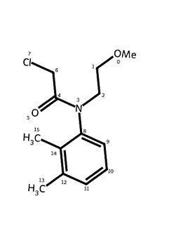 COCCN(C(=O)CCl)c1cccc(C)c1C